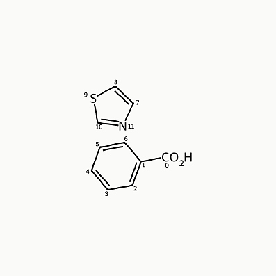 O=C(O)c1ccccc1.c1cscn1